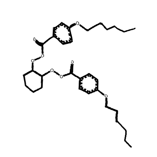 CCCCCCOc1ccc(C(=O)OO[C]2CC[CH]CC2OOC(=O)c2ccc(OCCCCCC)cc2)cc1